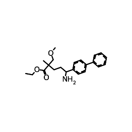 CCOC(=O)C(C)(CCC(N)c1ccc(-c2ccccc2)cc1)COC